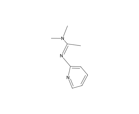 C/C(=N\c1ccccn1)N(C)C